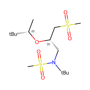 C[C@H](O[C@@H](CN(C(C)(C)C)S(C)(=O)=O)CS(C)(=O)=O)C(C)(C)C